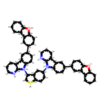 c1ccc2c(c1)oc1ccc(-c3ccc4c(c3)c3cccnc3n4-c3ccc4scc(-n5c6ccc(-c7ccc8oc9ccccc9c8c7)cc6c6cccnc65)c4c3)cc12